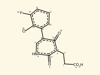 O=C(O)CCn1c(=O)[nH]cc(-c2cccc(F)c2Cl)c1=O